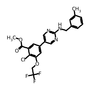 COC(=O)c1cc(-c2cnc(NCc3cccc(C)c3)nc2)cc(OCC(F)(F)F)c1Cl